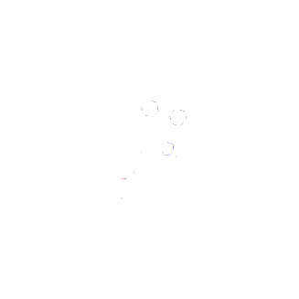 CC(c1ccccc1-c1ccc(F)cc1)n1cncc1CN1CCN(C(=O)OC(C)(C)C)CC1